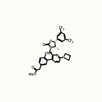 COC(=O)Cc1ccc(OC)c(-c2ccc(N3CCC3)nc2CN2C(=O)O[C@H](c3cc(C(F)(F)F)cc(C(F)(F)F)c3)[C@@H]2C)c1